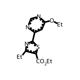 CCOC(=O)c1sc(-c2cc(OCC)ncn2)nc1CC